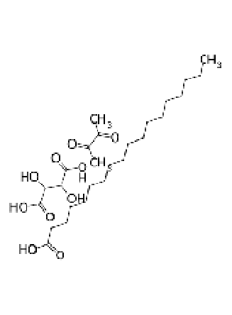 CC(=O)C(C)=O.CCCCCCCCCCCCCCCCCC(=O)O.O=C(O)C(O)C(O)C(=O)O